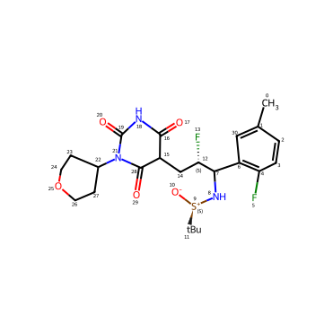 Cc1ccc(F)c(C(N[S@+]([O-])C(C)(C)C)[C@@H](F)CC2C(=O)NC(=O)N(C3CCOCC3)C2=O)c1